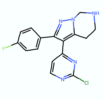 Fc1ccc(-c2nn3c(c2-c2ccnc(Cl)n2)CCNC3)cc1